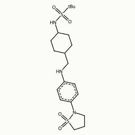 CC(C)(C)S(=O)(=O)NC1CCC(CNc2ccc(N3CCCS3(=O)=O)cc2)CC1